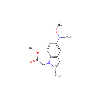 CC(C)(C)OC(=O)Cn1c(C(=O)O)cc2cc(N(C=O)OC(C)(C)C)ccc21